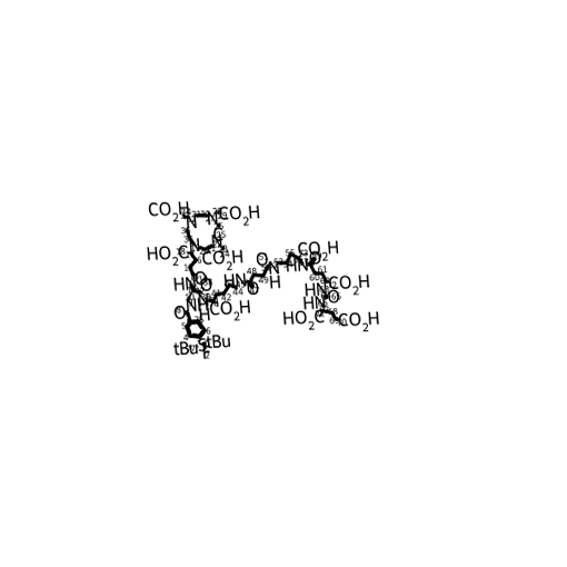 CC(C)(C)S(F)(c1ccc(C(=O)NC[C@@H](NC(=O)CC[C@H](C(=O)O)N2CCN(CC(=O)O)CCN(CC(=O)O)CCN(CC(=O)O)CC2)C(=O)N[C@H](CCCCNC(=O)CCC(=O)NCCC[C@@H](NC(=O)CC[C@H](NC(=O)N[C@@H](CCC(=O)O)C(=O)O)C(=O)O)C(=O)O)C(=O)O)cc1)C(C)(C)C